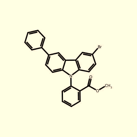 COC(=O)c1ccccc1-n1c2ccc(Br)cc2c2cc(-c3ccccc3)ccc21